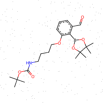 CC(C)(C)OC(=O)NCCCCOc1cccc(C=O)c1B1OC(C)(C)C(C)(C)O1